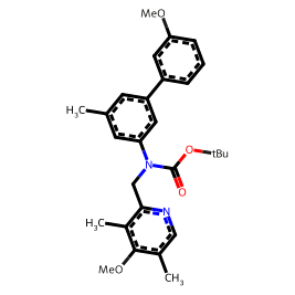 COc1cccc(-c2cc(C)cc(N(Cc3ncc(C)c(OC)c3C)C(=O)OC(C)(C)C)c2)c1